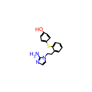 Nc1nccn1CCc1ccccc1Sc1ccc(O)cc1